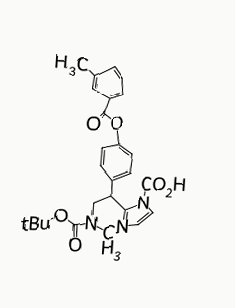 Cc1cccc(C(=O)Oc2ccc(C(CN(C)C(=O)OC(C)(C)C)c3nccn3C(=O)O)cc2)c1